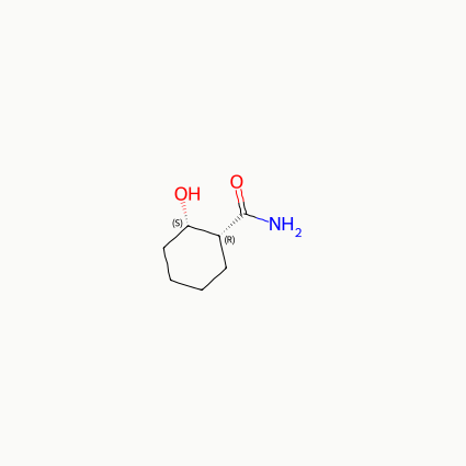 NC(=O)[C@@H]1CCCC[C@@H]1O